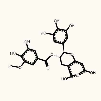 CC(C)Oc1cc(C(=O)O[C@H]2Cc3c(O)cc(O)cc3O[C@@H]2c2cc(O)c(O)c(O)c2)cc(O)c1O